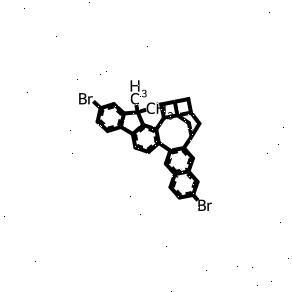 CC1(C)c2cc(Br)ccc2-c2ccc3c(c21)C1CC2CC4CC(CC421)c1cc2cc(Br)ccc2cc1-3